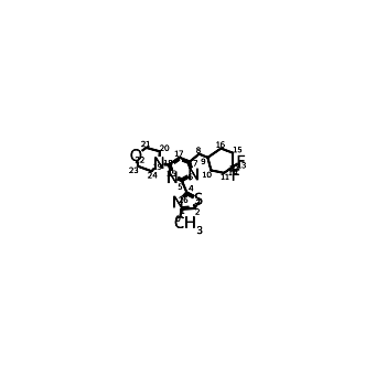 Cc1csc(-c2nc(CC3CCC(F)(F)CC3)cc(N3CCOCC3)n2)n1